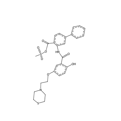 CS(=O)(=O)OC(=O)c1ccc(-c2ccccc2)cc1NC(=O)c1cc(OCCN2CCSCC2)ccc1O